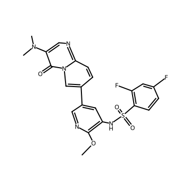 COc1ncc(-c2ccc3ncc(N(C)C)c(=O)n3c2)cc1NS(=O)(=O)c1ccc(F)cc1F